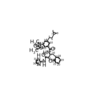 CN(c1cc(CCC2CC2)cc(C(=O)N[C@@H](Cc2ccccc2)[C@@H](O)C(=O)Nc2ncc[nH]2)c1)S(C)(=O)=O